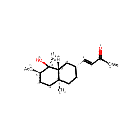 COC(=O)/C=C/[C@@H]1CC[C@@]2(C)CC[C@@H](OC(C)=O)[C@@](C)(O)[C@@H]2C1